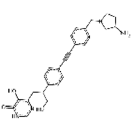 NC1CCN(Cc2ccc(C#Cc3ccc(C(CO)Cc4nc[nH]c(=O)c4O)cc3)cc2)C1